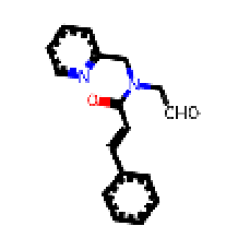 O=[C]CN(Cc1ccccn1)C(=O)/C=C/c1ccccc1